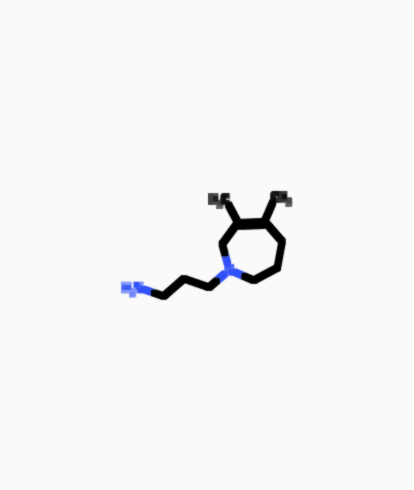 CC1=C(C)CN(CCCN)CCC1